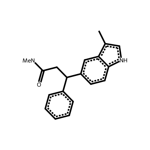 CNC(=O)CC(c1ccccc1)c1ccc2[nH]cc(C)c2c1